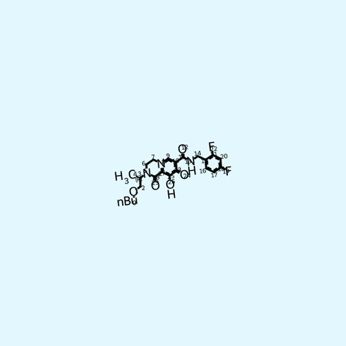 CCCCOC[C@@H](C)N1CCn2cc(C(=O)NCc3ccc(F)cc3F)c(=O)c(O)c2C1=O